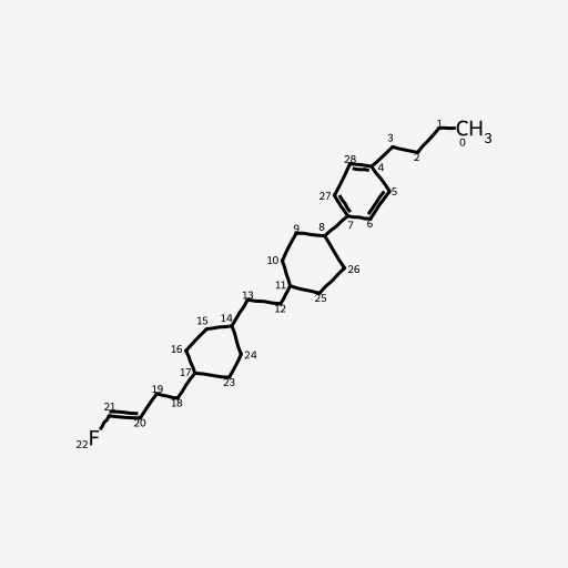 CCCCc1ccc(C2CCC(CCC3CCC(CC/C=C/F)CC3)CC2)cc1